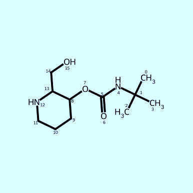 CC(C)(C)NC(=O)OC1CCCNC1CO